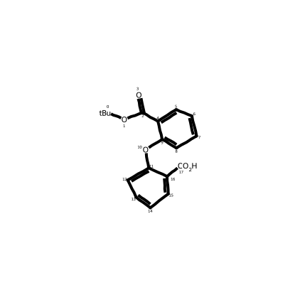 CC(C)(C)OC(=O)c1ccccc1Oc1ccccc1C(=O)O